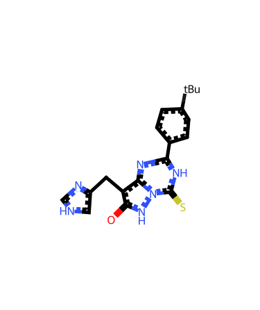 CC(C)(C)c1ccc(-c2nc3c(Cc4c[nH]cn4)c(=O)[nH]n3c(=S)[nH]2)cc1